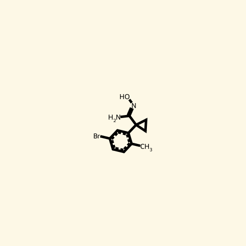 Cc1ccc(Br)cc1C1(C(N)=NO)CC1